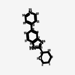 [CH]1CCO[C@@H](c2nc3cc(-c4ccncc4)ccc3[nH]2)C1